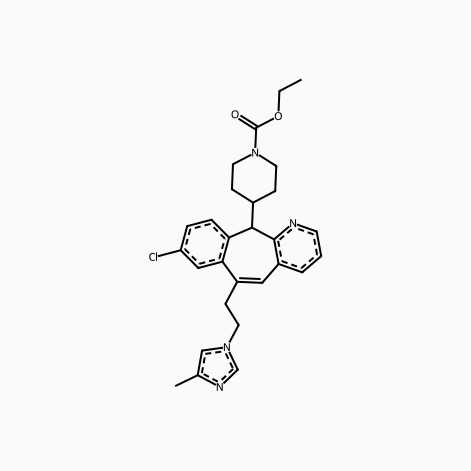 CCOC(=O)N1CCC(C2c3ccc(Cl)cc3C(CCn3cnc(C)c3)=Cc3cccnc32)CC1